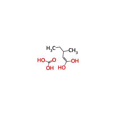 CCC(C)C=C(O)O.O=C(O)O